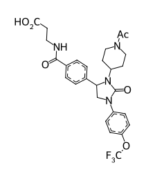 CC(=O)N1CCC(N2C(=O)N(c3ccc(OC(F)(F)F)cc3)CC2c2ccc(C(=O)NCCC(=O)O)cc2)CC1